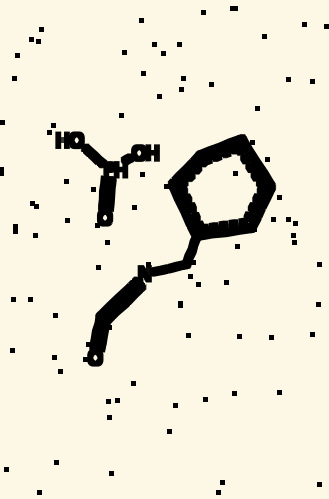 O=C=NCc1ccccc1.O=[PH](O)O